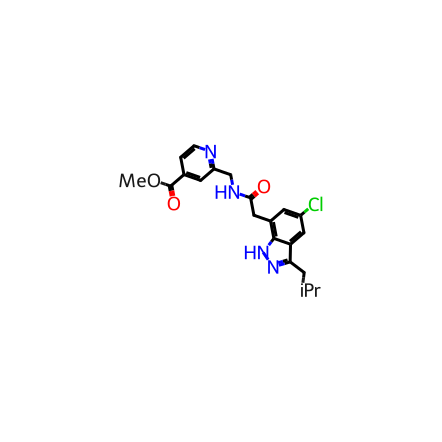 COC(=O)c1ccnc(CNC(=O)Cc2cc(Cl)cc3c(CC(C)C)n[nH]c23)c1